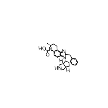 C[C@H]1CCc2c(ccc3c2nc(Cc2ccccc2)n3[C@@H]2CC[C@@H]3CNC[C@H]32)N1C(=O)O